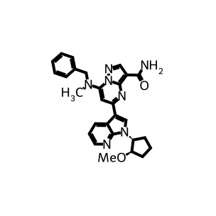 CO[C@@H]1CCC[C@H]1n1cc(-c2cc(N(C)Cc3ccccc3)n3ncc(C(N)=O)c3n2)c2cccnc21